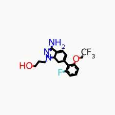 NC1=NN(CCCO)C2CC(c3c(F)cccc3OCC(F)(F)F)=CC=C12